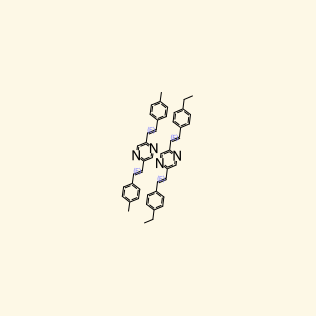 CCc1ccc(/C=C/c2cnc(/C=C/c3ccc(CC)cc3)cn2)cc1.Cc1ccc(/C=C/c2cnc(/C=C/c3ccc(C)cc3)cn2)cc1